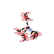 OCC1O[C@@H](SCCCOCCC(CNC(=S)NCCSCC2O[C@@H]3O[C@@H]4C(CO)O[C@H](OCCCCC[C@H]2[C@H](O)C3O)C(O)[C@H]4O)(COCCCS[C@@H]2OC(CO)[C@@H](O[C@@H]3OC(CO)[C@H](O)[C@H](O)C3O)[C@H](O)C2O)COCCCS[C@@H]2OC(CO)[C@@H](O[C@@H]3OC(CO)[C@H](O)[C@H](O)C3O)[C@H](O)C2O)C(O)[C@@H](O)[C@@H]1O